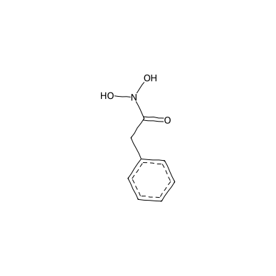 O=C(Cc1ccccc1)N(O)O